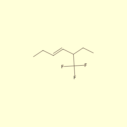 CCC=CC(CC)C(F)(F)F